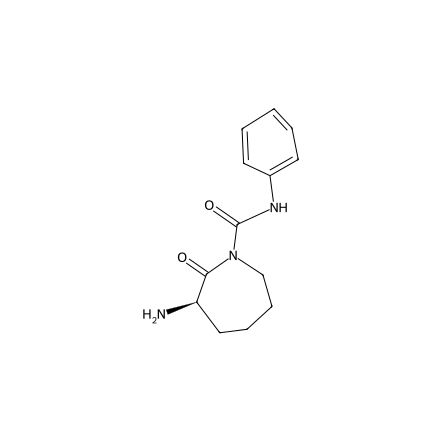 N[C@@H]1CCCCN(C(=O)Nc2ccccc2)C1=O